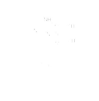 CC(C)S(=O)(=O)n1c(N)nc2ccc(C(=O)C3CCCCC3)cc21